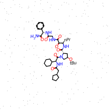 CCCC(NC(=O)[C@@H]1C[C@@H](OC(C)(C)C)CN1C(=O)[C@@H](NC(=O)CC1CCCC1)C1CCCCC1)C(=O)C(=O)NCC(=O)N[C@H](C(N)=O)c1ccccc1